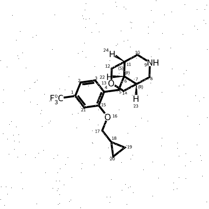 FC(F)(F)c1ccc(C[C@H]2[C@@H]3CNC[C@H]2COC3)c(OCC2CC2)c1